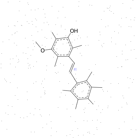 COc1c(C)c(O)c(C)c(/C=C/c2c(C)c(C)c(C)c(C)c2C)c1C